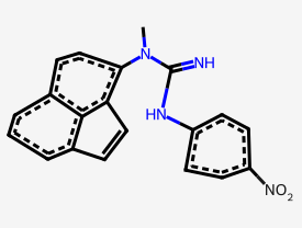 CN(C(=N)Nc1ccc([N+](=O)[O-])cc1)c1ccc2cccc3c2c1C=C3